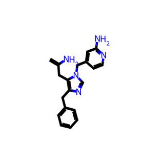 C=C(N)Cc1c(Cc2ccccc2)ncn1Cc1ccnc(N)c1